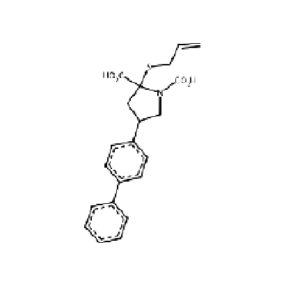 C=CCSC1(C(=O)O)CC(c2ccc(-c3ccccc3)cc2)CN1C(=O)O